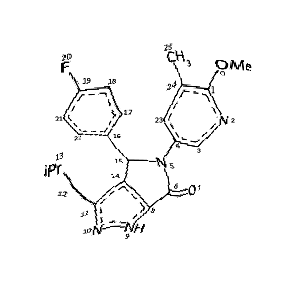 COc1ncc(N2C(=O)c3[nH]nc(CC(C)C)c3C2c2ccc(F)cc2)cc1C